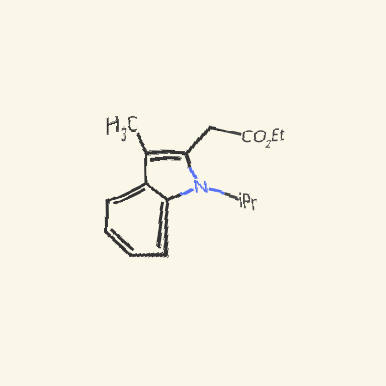 CCOC(=O)Cc1c(C)c2ccccc2n1C(C)C